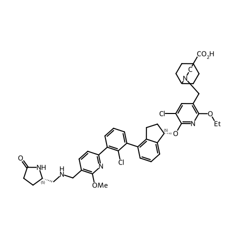 CCOc1nc(O[C@H]2CCc3c(-c4cccc(-c5ccc(CNC[C@@H]6CCC(=O)N6)c(OC)n5)c4Cl)cccc32)c(Cl)cc1CN1CC2(C(=O)O)CCC1CC2